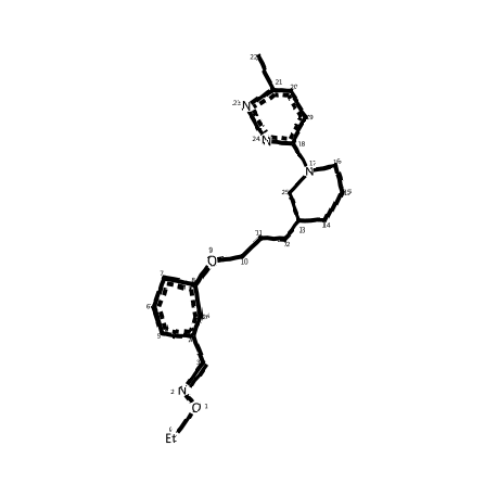 CCON=Cc1cccc(OCCCC2CCCN(c3ccc(C)nn3)C2)c1